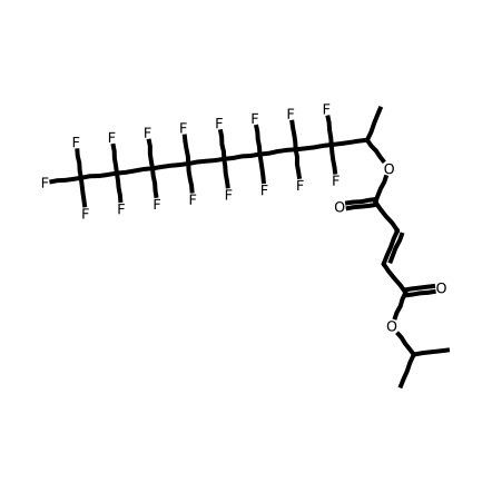 CC(C)OC(=O)/C=C/C(=O)OC(C)C(F)(F)C(F)(F)C(F)(F)C(F)(F)C(F)(F)C(F)(F)C(F)(F)C(F)(F)F